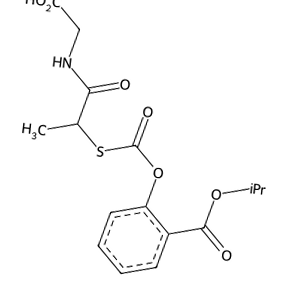 CC(C)OC(=O)c1ccccc1OC(=O)SC(C)C(=O)NCC(=O)O